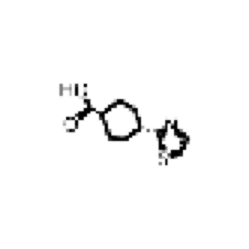 O=C(O)[C@H]1CC[C@H](c2nccs2)CC1